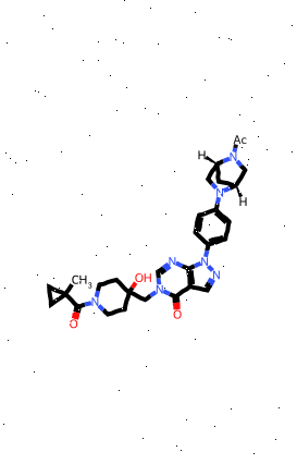 CC(=O)N1C[C@H]2C[C@@H]1CN2c1ccc(-n2ncc3c(=O)n(CC4(O)CCN(C(=O)C5(C)CC5)CC4)cnc32)cc1